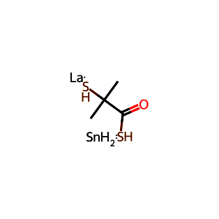 CC(C)(S)C(=O)S.[La].[SnH2]